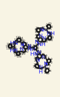 C1=c2cccc3c2=N/C1=C(/c1ccccc1)c1cc2cccc(c2[nH]1)-c1ccc2c(n1)-c1nc-3ccc1C1N=C(c3cc(C4=NC5c6ccc7nc6-c6nc(ccc6C5N4)-c4cccc5cc([nH]c45)/C(c4ccccc4)=C4/C=c5cccc-7c5=N4)cc(C4=NC5c6ccc7nc6-c6nc(ccc6C5N4)-c4cccc5cc([nH]c45)C(c4ccccc4)c4cc5cccc-7c5[nH]4)c3)NC21